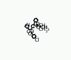 CC(C)(C)OC(=O)N1CC(C(OC(=O)c2ccc(Cl)cc2)C(=O)c2cccnc2)CCC1c1ccccc1